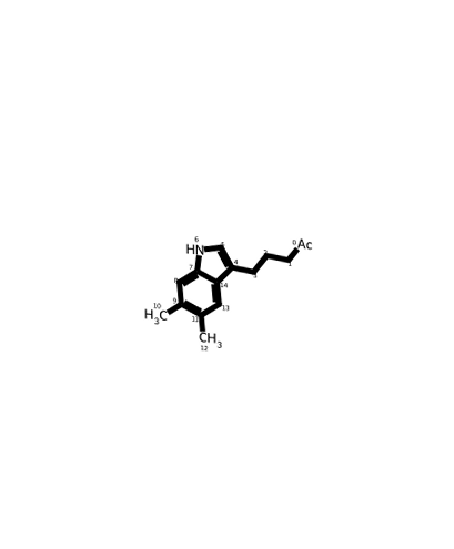 CC(=O)CCCc1c[nH]c2cc(C)c(C)cc12